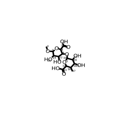 COC1OC(C(=O)O)C(OC2OC(C(=O)O)C(C)C(O)C2O)C(O)C1O